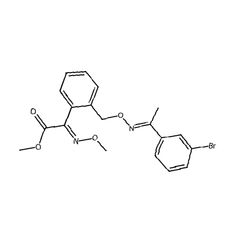 CO/N=C(/C(=O)OC)c1ccccc1CO/N=C(\C)c1cccc(Br)c1